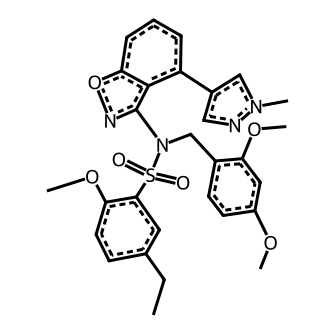 CCc1ccc(OC)c(S(=O)(=O)N(Cc2ccc(OC)cc2OC)c2noc3cccc(-c4cnn(C)c4)c23)c1